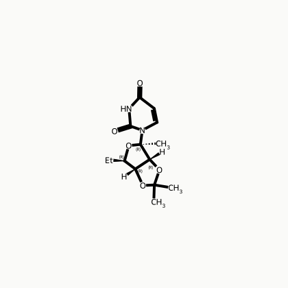 CC[C@H]1O[C@@](C)(n2ccc(=O)[nH]c2=O)[C@@H]2OC(C)(C)O[C@@H]21